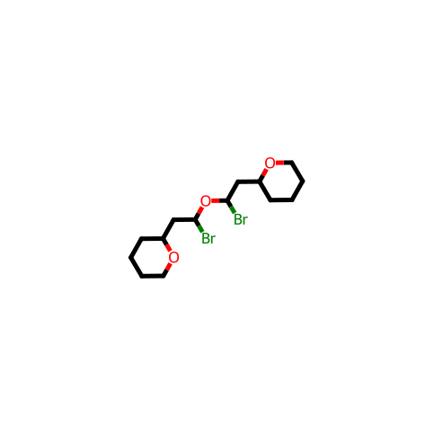 BrC(CC1CCCCO1)OC(Br)CC1CCCCO1